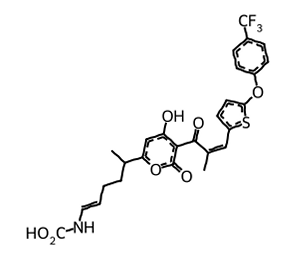 CC(=Cc1ccc(Oc2ccc(C(F)(F)F)cc2)s1)C(=O)c1c(O)cc(C(C)CC/C=C/NC(=O)O)oc1=O